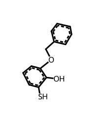 Oc1c(S)cccc1OCc1ccccc1